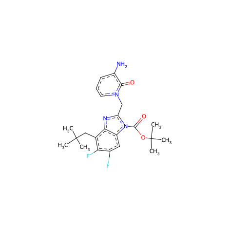 CC(C)(C)Cc1c(F)c(F)cc2c1nc(Cn1cccc(N)c1=O)n2C(=O)OC(C)(C)C